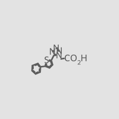 O=C(O)Cn1nnnc1-c1ccc(-c2ccccc2)s1